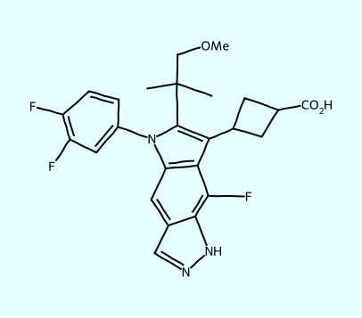 COCC(C)(C)c1c(C2CC(C(=O)O)C2)c2c(F)c3[nH]ncc3cc2n1-c1ccc(F)c(F)c1